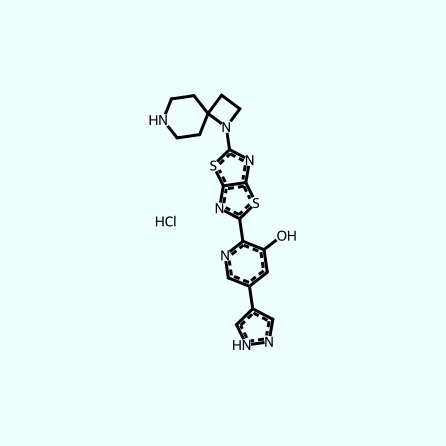 Cl.Oc1cc(-c2cn[nH]c2)cnc1-c1nc2sc(N3CCC34CCNCC4)nc2s1